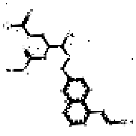 CC(OCc1ccc2c(/C=C/C(=O)O)cccc2c1)C(CCC(N)=O)NC(=O)OC(C)(C)C